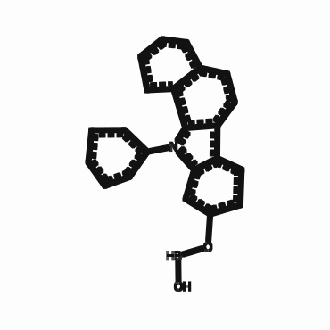 OBOc1ccc2c3ccc4ccccc4c3n(-c3ccccc3)c2c1